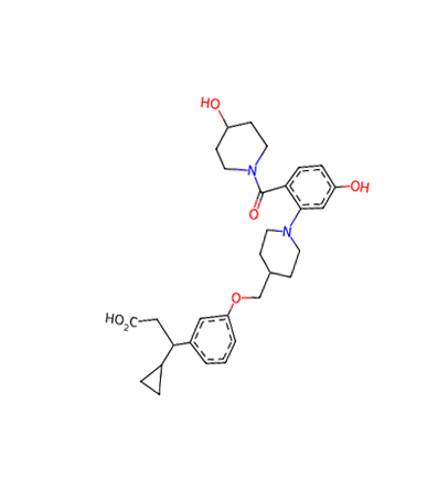 O=C(O)CC(c1cccc(OCC2CCN(c3cc(O)ccc3C(=O)N3CCC(O)CC3)CC2)c1)C1CC1